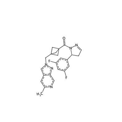 Cc1cc2cn(CC34CC(C(=O)N5N=CCC5c5cc(F)cc(F)c5)(C3)C4)nc2cn1